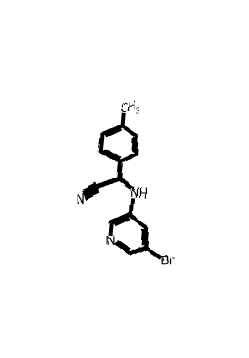 Cc1ccc(C(C#N)Nc2cncc(Br)c2)cc1